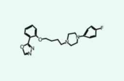 Fc1ccc(N2CCN(CCCCOc3ccccc3-c3nnco3)CC2)cc1